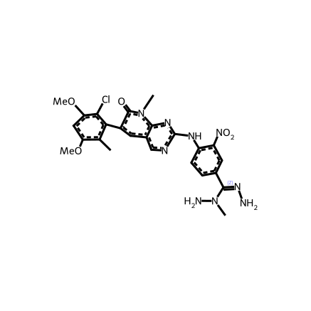 COc1cc(OC)c(Cl)c(-c2cc3cnc(Nc4ccc(/C(=N/N)N(C)N)cc4[N+](=O)[O-])nc3n(C)c2=O)c1C